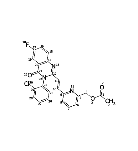 CC(=O)OCc1cccc(C=Cc2nc3ccc(F)cc3c(=O)n2-c2ccccc2Cl)n1